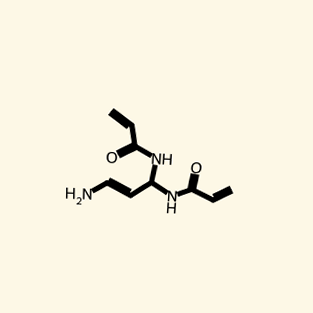 C=CC(=O)NC(C=CN)NC(=O)C=C